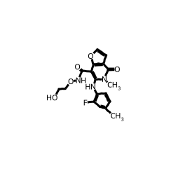 Cc1ccc(Nc2c(C(=O)NOCCO)c3occc3c(=O)n2C)c(F)c1